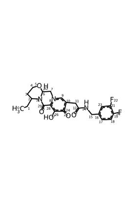 CCC1CCO[C@H]2Cn3cc(CC(=O)NCc4ccc(F)c(F)c4)c(=O)c(O)c3C(=O)N12